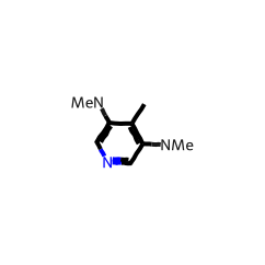 CNc1cncc(NC)c1C